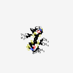 CCCCC(CC)CSC(SCC(CC)CCCC)=C1c2cc3c(cc2-c2sc(/C=C4/CC(=S)N(CC)C4=O)cc21)C(=C(SCC(CC)CCCC)SCC(CC)CCCC)c1cc(/C=C2/SC(=S)N(CC)C2=O)sc1-3